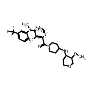 C=C(/C(C)=C(\N=C/N)C(=O)N1CCC(NC2CCOCC2OC)CC1)N(C)c1cccc(C(F)(F)F)c1